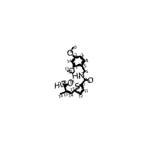 COc1ccc(CNC(=O)c2ccc(C=C(C)C(=O)O)s2)c(OC)c1